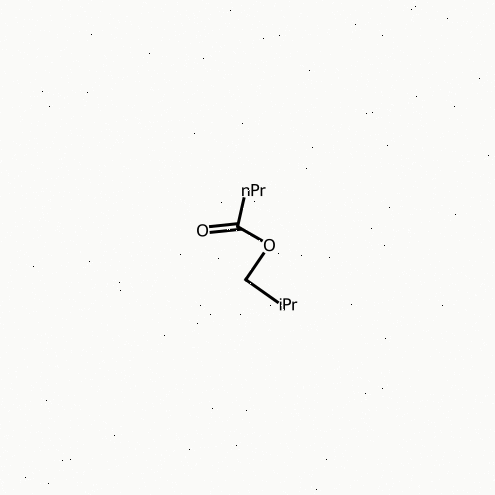 [CH2]CCC(=O)OCC(C)C